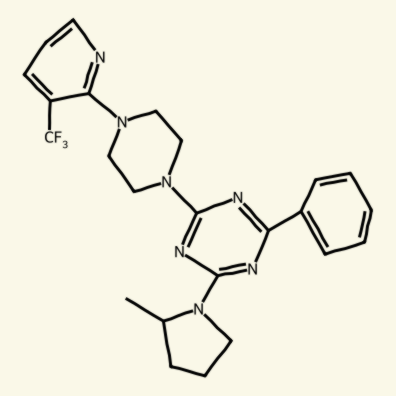 CC1CCCN1c1nc(-c2ccccc2)nc(N2CCN(c3ncccc3C(F)(F)F)CC2)n1